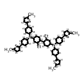 CCc1cc(N(c2ccc(-c3ccc(C)s3)cc2)c2ccc(-c3ccc(C)s3)cc2)ccc1-c1ccc(N(c2ccc(-c3ccc(C)s3)cc2)c2ccc(-c3ccc(C)s3)cc2)cc1CC